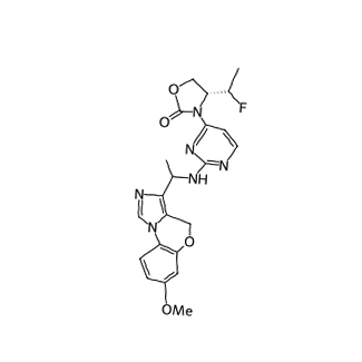 COc1ccc2c(c1)OCc1c(C(C)Nc3nccc(N4C(=O)OC[C@@H]4C(C)F)n3)ncn1-2